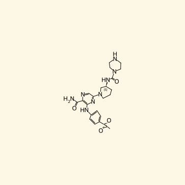 CS(=O)(=O)c1ccc(Nc2nc(N3CCC[C@H](NC(=O)N4CCNCC4)C3)cnc2C(N)=O)cc1